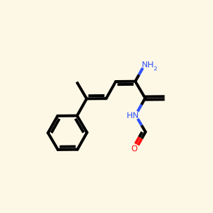 C=C(NC=O)/C(N)=C\C=C(/C)c1ccccc1